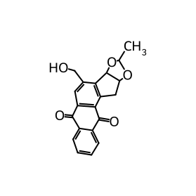 CC1OC2Cc3c4c(cc(CO)c3C2O1)C(=O)c1ccccc1C4=O